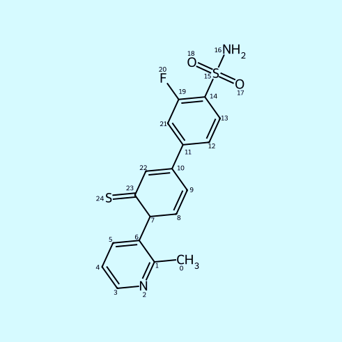 Cc1ncccc1C1C=CC(c2ccc(S(N)(=O)=O)c(F)c2)=CC1=S